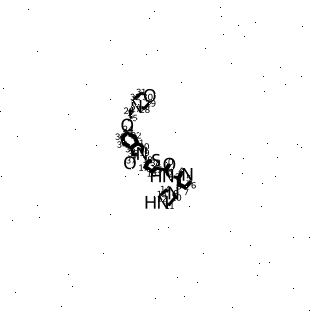 O=C(Nc1cnccc1N1CCNCC1)c1ccc(N2Cc3cc(OCCN4CCOCC4)ccc3C2=O)s1